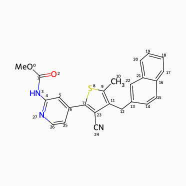 COC(=O)Nc1cc(-c2sc(C)c(Cc3ccc4ccccc4c3)c2C#N)ccn1